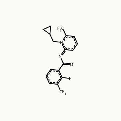 O=C(/N=c1\cccc(C(F)(F)F)n1CC1CC1)c1cccc(C(F)(F)F)c1F